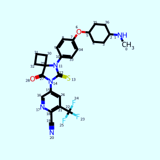 CNC1CCC(Oc2ccc(N3C(=S)N(c4cnc(C#N)c(C(F)(F)F)c4)C(=O)C34CCC4)cc2)CC1